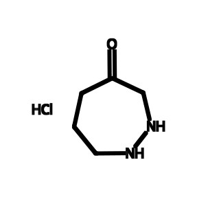 Cl.O=C1CCCNNC1